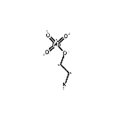 [O]=[Mn](=[O])(=[O])[O]C[CH2][K]